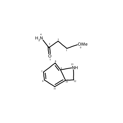 COCCC(N)=O.c1ccc2c(c1)CN2